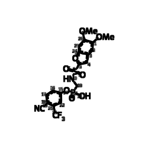 COc1cc2cc(S(=O)(=O)NCP(=O)(O)Oc3ccc(C#N)c(C(F)(F)F)c3)oc2cc1OC